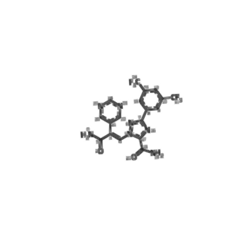 NC(=O)C(=Cn1nc(-c2cc(C(F)(F)F)cc(C(F)(F)F)c2)nc1C(N)=O)c1cncnc1